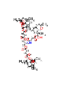 C[C@H]([C@@H]1CCCC2CC[C@H](C)OCC21)[C@@H](O)OC(=O)CCC(=O)NC(COC(=O)CCC(=O)O[C@@H]1O[C@@H]2O[C@@]3(C)CC[C@H]4[C@H](C)CC[C@@H]([C@H]1C)[C@@]24OO3)COC(=O)CCC(=O)O[C@@H]1O[C@@H]2O[C@@]3(C)CC[C@H]4[C@H](C)CC[C@@H]([C@H]1C)[C@@]24OO3